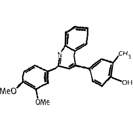 COc1ccc(-c2cc(-c3ccc(O)c(C)c3)c3ccccc3n2)cc1OC